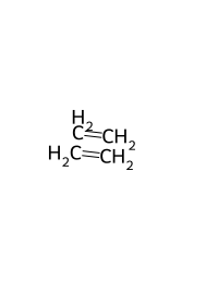 C=C.C=C